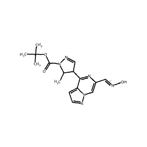 CC1C(c2nc(/C=N/O)cn3nccc23)C=NN1C(=O)OC(C)(C)C